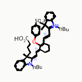 CCCCN1/C(=C/C=C2\CCCC(/C=C/C3=[N+](CCCC)c4ccccc4C3(C)C)=C2Oc2ccc(S(=O)(=O)O)cc2)C(C)(CCCC(=O)O)c2ccccc21